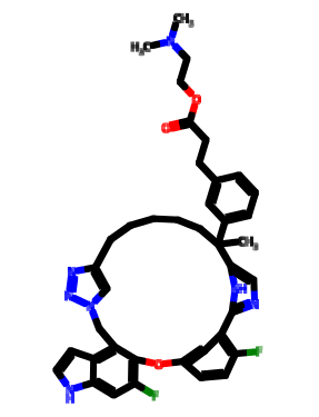 CN(C)CCOC(=O)CCc1cccc(C2(C)CCCCCc3cn(nn3)Cc3c(c(F)cc4[nH]ccc34)Oc3ccc(F)c(c3)-c3ncc2[nH]3)c1